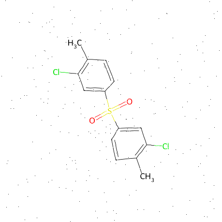 Cc1ccc(S(=O)(=O)c2ccc(C)c(Cl)c2)cc1Cl